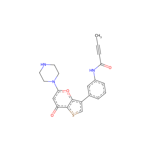 CC#CC(=O)Nc1cccc(-c2csc3c(=O)cc(N4CCNCC4)oc23)c1